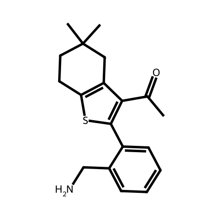 CC(=O)c1c(-c2ccccc2CN)sc2c1CC(C)(C)CC2